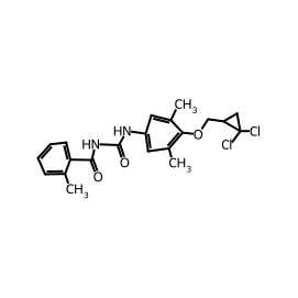 Cc1ccccc1C(=O)NC(=O)Nc1cc(C)c(OCC2CC2(Cl)Cl)c(C)c1